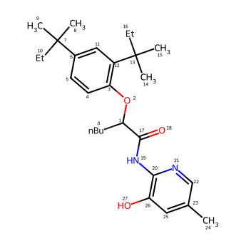 CCCCC(Oc1ccc(C(C)(C)CC)cc1C(C)(C)CC)C(=O)Nc1ncc(C)cc1O